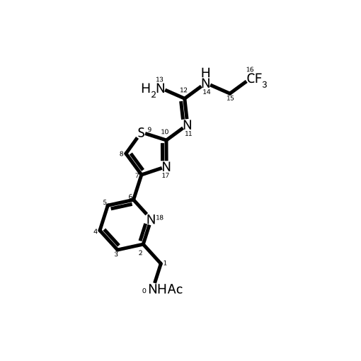 CC(=O)NCc1cccc(-c2csc(/N=C(\N)NCC(F)(F)F)n2)n1